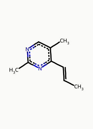 C/C=C/c1nc(C)ncc1C